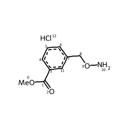 COC(=O)c1cccc(CON)c1.Cl